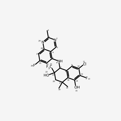 Cc1ncc2c(NC3c4cc(Cl)c(F)c(O)c4C(C)(C)CC3(O)C(F)(F)F)cc(F)cc2n1